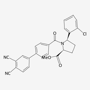 COC(=O)[C@@H]1CC[C@H](c2ccccc2Cl)N1C(=O)c1ccc(-c2ccc(C#N)c(C#N)c2)cc1